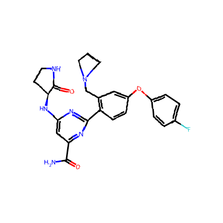 NC(=O)c1cc(N[C@H]2CCNC2=O)nc(-c2ccc(Oc3ccc(F)cc3)cc2CN2CCC2)n1